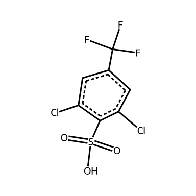 O=S(=O)(O)c1c(Cl)cc(C(F)(F)F)cc1Cl